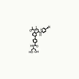 CC(=O)N1c2ccc(-c3ccc(C(=O)NC(CO)CO)cc3)cc2[C@H](Nc2ccc(C#N)cn2)C[C@@H]1C